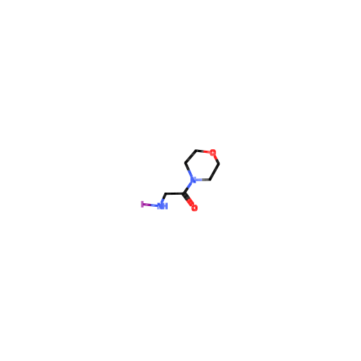 O=C(CNI)N1CCOCC1